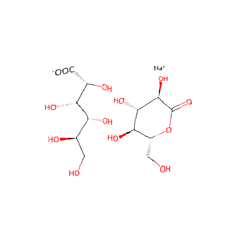 O=C([O-])[C@H](O)[C@@H](O)[C@H](O)[C@H](O)CO.O=C1O[C@H](CO)[C@@H](O)[C@H](O)[C@H]1O.[Na+]